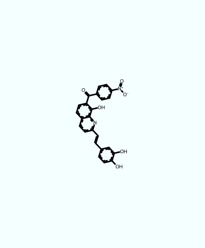 O=C(c1ccc([N+](=O)[O-])cc1)c1ccc2ccc(C=Cc3ccc(O)c(O)c3)nc2c1O